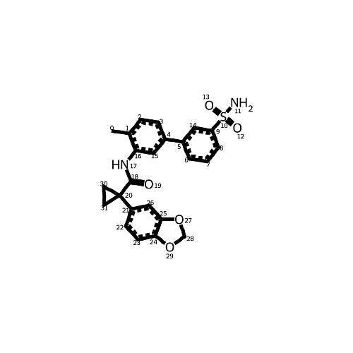 Cc1ccc(-c2cccc(S(N)(=O)=O)c2)cc1NC(=O)C1(c2ccc3c(c2)OCO3)CC1